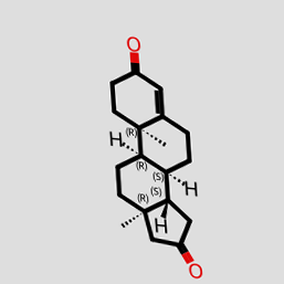 C[C@]12CC[C@@H]3[C@@H](CCC4=CC(=O)CC[C@@]43C)[C@@H]1CC(=O)C2